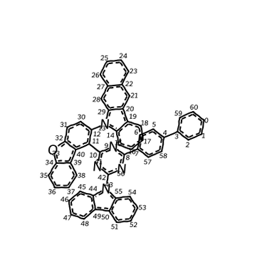 c1ccc(-c2ccc(-c3nc(-c4c(-n5c6ccccc6c6cc7ccccc7cc65)ccc5oc6ccccc6c45)nc(-n4c5ccccc5c5ccccc54)n3)cc2)cc1